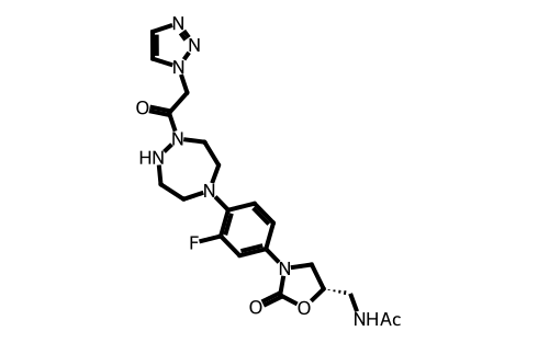 CC(=O)NC[C@H]1CN(c2ccc(N3CCNN(C(=O)Cn4ccnn4)CC3)c(F)c2)C(=O)O1